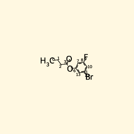 CCCC(=O)Oc1cc(F)cc(Br)c1